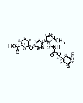 Cn1ncc(-c2ccc(O[C@H]3CCC[C@H](C(=O)O)C3)cn2)c1CNC(=O)OCc1cc(F)cc(F)c1